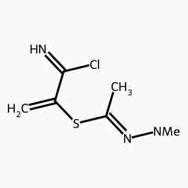 C=C(S/C(C)=N/NC)C(=N)Cl